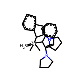 [CH3][Zr]([CH3])(=[SiH2])([CH]1C(N2CCCC2)=Cc2ccccc21)[CH]1C(N2CCCC2)=Cc2ccccc21